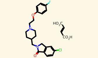 O=C(O)/C=C/C(=O)O.O=C1c2ccc(Cl)cc2CN1CC1CCN(CCOc2ccc(F)cc2)CC1